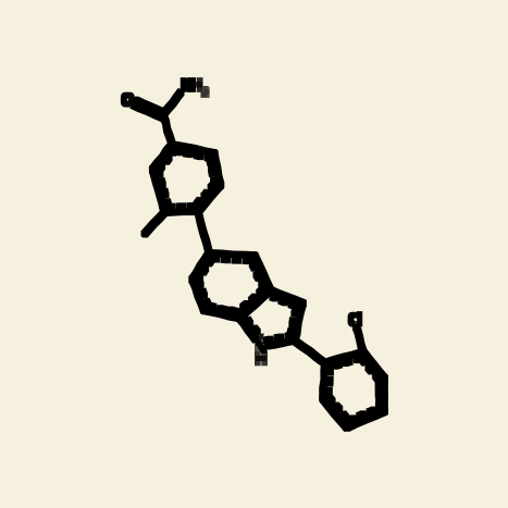 Cc1cc(C(N)=O)ccc1-c1ccc2[nH]c(-c3ccccc3Cl)cc2c1